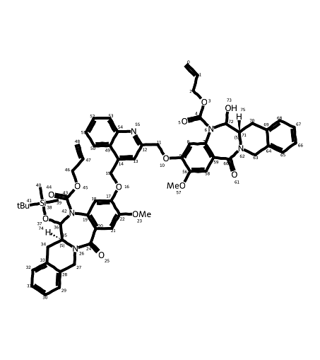 C=CCOC(=O)N1c2cc(OCc3cc(COc4cc5c(cc4OC)C(=O)N4Cc6ccccc6C[C@H]4C(O[Si](C)(C)C(C)(C)C)N5C(=O)OCC=C)c4ccccc4n3)c(OC)cc2C(=O)N2Cc3ccccc3C[C@H]2C1O